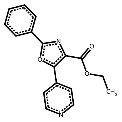 CCOC(=O)c1nc(-c2ccccc2)oc1-c1ccncc1